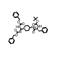 CC(C)(C)OC(=O)N[C@@H](Cc1ccccc1)C(=O)NC1CCN(C(=NC(=O)OCc2ccccc2)NC(=O)OCc2ccccc2)CC1